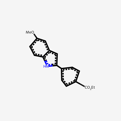 CCOC(=O)c1ccc(-c2cc3cc(OC)ccc3[nH]2)cc1